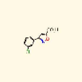 O=C(O)c1cc(-c2cccc(Cl)c2)no1